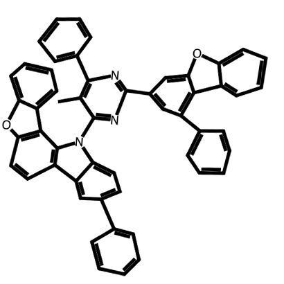 Cc1c(-c2ccccc2)nc(-c2cc(-c3ccccc3)c3c(c2)oc2ccccc23)nc1-n1c2ccc(-c3ccccc3)cc2c2ccc3oc4ccccc4c3c21